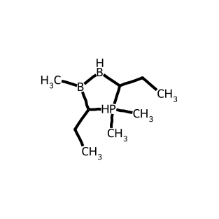 CCC1BB(C)C(CC)[PH]1(C)C